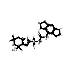 CC1(C)Cc2oc(S(=O)(=O)NC(=O)Nc3c4c(cc5c3CCC5)CCC4)cc2C(C)(O)C1